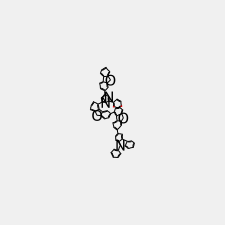 c1ccc(-c2nc(-c3ccc4c(c3)oc3ccccc34)cc(-c3cccc4oc5ccc(-c6cccc7oc8cc(-c9ccc%10c(c9)c9ccccc9n%10-c9ccccc9)ccc8c67)cc5c34)n2)cc1